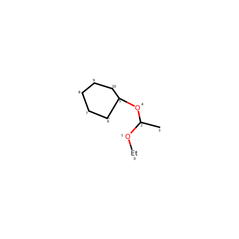 CCOC(C)OC1[CH]CCCC1